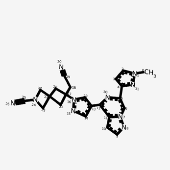 Cn1ccc(-c2cn3nccc3c(-c3cnn(C4(CC#N)CC5(CN(C#N)C5)C4)c3)n2)n1